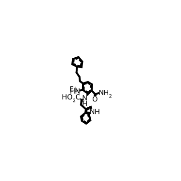 CCNc1c(CCCc2ccccc2)ccc(C(N)=O)c1N[C@@H](Cc1c[nH]c2ccccc12)C(=O)O